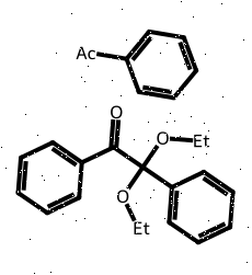 CC(=O)c1ccccc1.CCOC(OCC)(C(=O)c1ccccc1)c1ccccc1